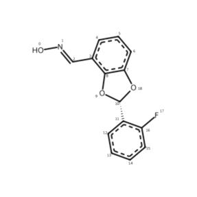 ON=Cc1cccc2c1O[C@@H](c1ccccc1F)O2